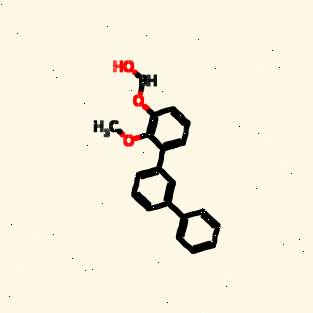 COc1c(OBO)cccc1-c1cccc(-c2ccccc2)c1